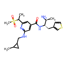 CC1CC1CNc1cc(C(=O)N[C@@H](Cc2ccsc2)[C@H](C)N)cc(C(C)S(C)(=O)=O)n1